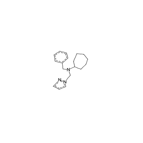 c1ccc(CN(Cn2cccn2)C2CCCCCC2)cc1